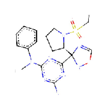 CN(c1ccccc1)c1nc(N)nc(C2([C@H]3CCCN3S(=O)(=O)CC(F)(F)F)N=CON2)n1